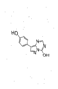 Oc1ccc(-c2cnn3c(O)ncnc23)cc1